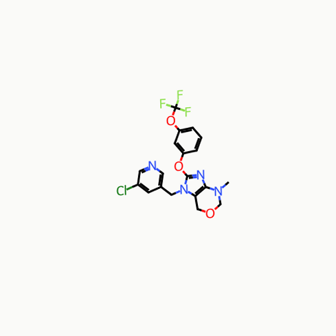 CN1COCc2c1nc(Oc1cccc(OC(F)(F)F)c1)n2Cc1cncc(Cl)c1